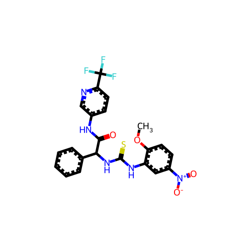 COc1ccc([N+](=O)[O-])cc1NC(=S)NC(C(=O)Nc1ccc(C(F)(F)F)nc1)c1ccccc1